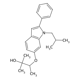 CC(C)Cn1c(-c2ccccc2)cc2ccc(OC(C)C(C)(C)O)cc21